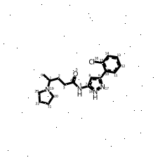 CC(CCC(=O)Nc1cc(-c2ccccc2Cl)n[nH]1)N1CCCC1